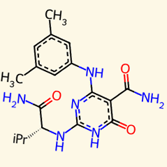 Cc1cc(C)cc(Nc2nc(N[C@@H](C(N)=O)C(C)C)[nH]c(=O)c2C(N)=O)c1